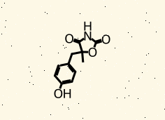 CC1(Cc2ccc(O)cc2)OC(=O)NC1=O